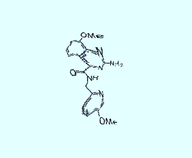 COc1ccc(CNC(=O)c2nc(N)nc3c(OC)cccc23)nc1